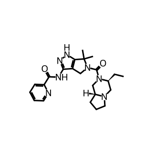 CC[C@H]1CN2CCC[C@@H]2CN1C(=O)N1Cc2c(NC(=O)c3ccccn3)n[nH]c2C1(C)C